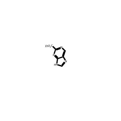 CCOC(=O)c1ncc2nc[nH]c2n1